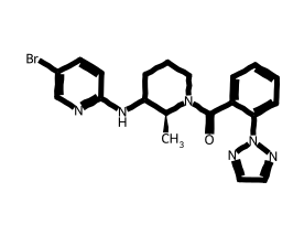 C[C@H]1C(Nc2ccc(Br)cn2)CCCN1C(=O)c1ccccc1-n1nccn1